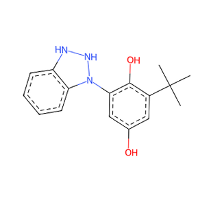 CC(C)(C)c1cc(O)cc(N2NNc3ccccc32)c1O